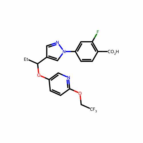 CCC(Oc1ccc(OCC(F)(F)F)nc1)c1cnn(-c2ccc(C(=O)O)c(F)c2)c1